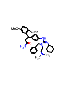 COc1ccc(OC)c(C(CC(N)=O)c2ccc(N/C(=N/C3CCCCC3)N(CCN(C)C)Cc3ccccc3)cc2)c1